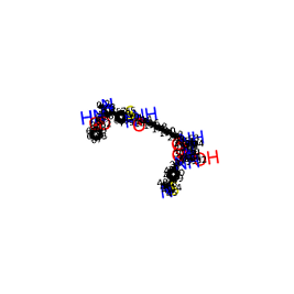 Cc1ncc(-c2ccc3nc(NC(=O)CCCCCCCCCC(=O)N[C@H](C(=O)N4C[C@H](O)C[C@H]4C(=O)NCc4ccc(-c5scnc5C)cc4)C(C)(C)C)sc3c2)cc1NC(=O)OC1CCCCC1